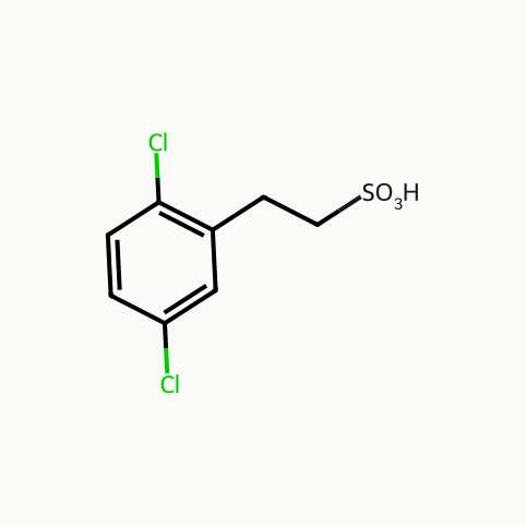 O=S(=O)(O)CCc1cc(Cl)ccc1Cl